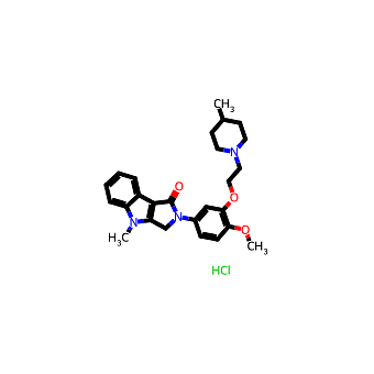 COc1ccc(N2Cc3c(c4ccccc4n3C)C2=O)cc1OCCN1CCC(C)CC1.Cl